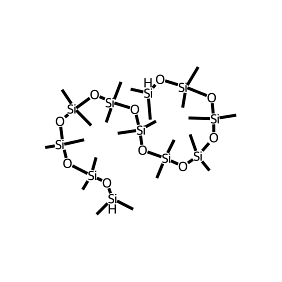 C[SiH](C)O[Si](C)(C)O[Si](C)(C)O[Si](C)(C)O[Si](C)(C)O[Si](C)(C)O[Si](C)(C)O[Si](C)(C)O[Si](C)(C)O[Si](C)(C)O[SiH](C)C